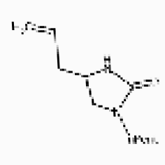 C=CCC1CN(CCCCC)C(=O)N1